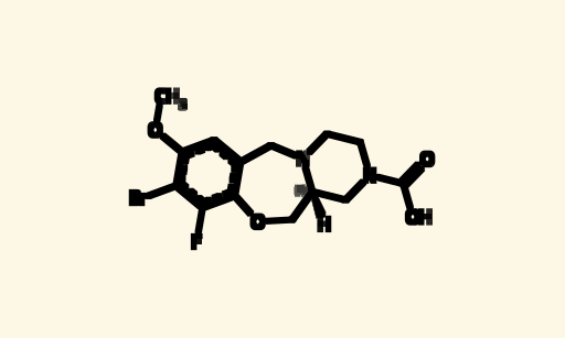 COc1cc2c(c(F)c1Br)OC[C@H]1CN(C(=O)O)CCN1C2